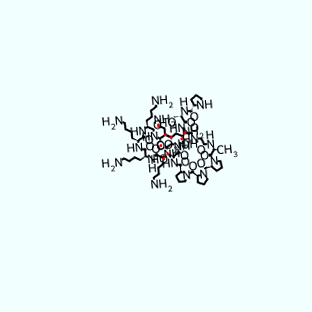 C[C@H](NC(=O)CNC(=O)[C@H](CO)NC(=O)[C@H](CO)NC(=O)[C@@H]1CCCN1)C(=O)N1CCC[C@H]1C(=O)N1CCC[C@H]1C(=O)N1CCC[C@H]1C(=O)N[C@@H](CO)C(=O)N[C@@H](CCCCN)C(=O)N[C@@H](CCCCN)C(=O)N[C@@H](CCCCN)C(=O)N[C@@H](CCCCN)C(=O)N[C@@H](CCCCN)C(=O)N[C@@H](CCCCN)C(=O)O